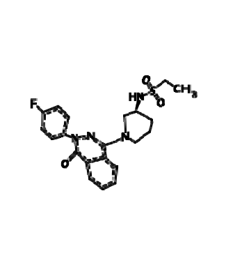 CCS(=O)(=O)N[C@H]1CCCN(c2nn(-c3ccc(F)cc3)c(=O)c3ccccc23)C1